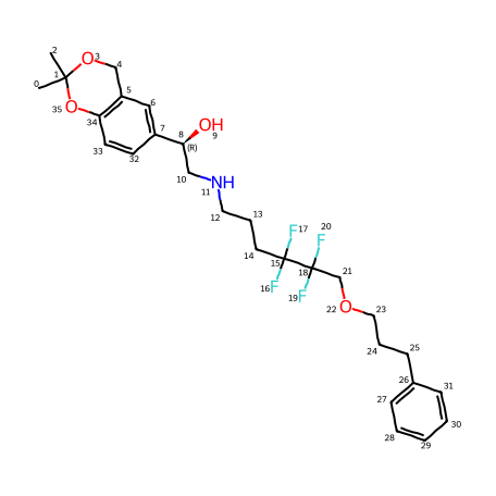 CC1(C)OCc2cc([C@@H](O)CNCCCC(F)(F)C(F)(F)COCCCc3ccccc3)ccc2O1